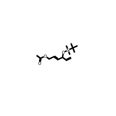 C=CC(/C=C/COC(C)=O)O[Si](C)(C)C(C)(C)C